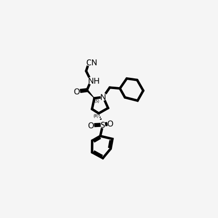 N#CCNC(=O)[C@@H]1C[C@@H](S(=O)(=O)c2ccccc2)CN1CC1CCCCC1